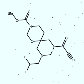 C#CC(=O)C1CN(CC(F)F)CC2(CCN(C(=O)OC(C)(C)C)CO2)C1